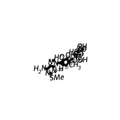 CSc1nc(N)c2ncn(C3[C@@H]4C[C@](C)(COP(=O)(O)OP(=O)(O)O)[C@@H](O)[C@@]34O)c2n1